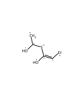 CCC=C(O)SC(C)O